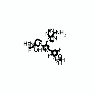 [2H]C([2H])([2H])Oc1cc(F)c(-c2cc(Cn3cnc4c(N)ncnc43)c(N3CCC[C@](N)([C@H](O)C(F)F)C3)cn2)cc1F